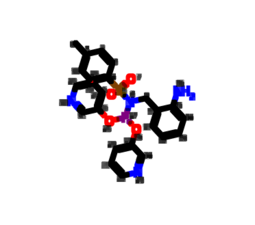 Cc1ccc(S(=O)(=O)N(Cc2ccccc2N)P(Oc2cccnc2)Oc2cccnc2)cc1